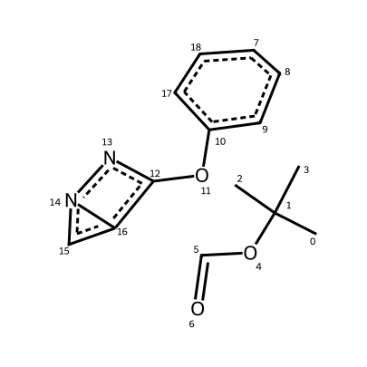 CC(C)(C)OC=O.c1ccc(Oc2nn3cc2-3)cc1